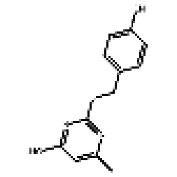 Cc1cc(O)nc(SCc2ccc(C#N)cc2)n1